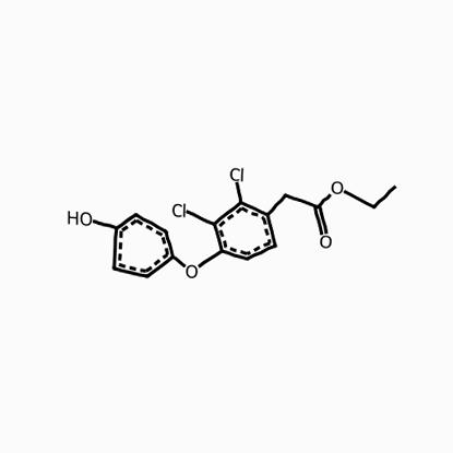 CCOC(=O)Cc1ccc(Oc2ccc(O)cc2)c(Cl)c1Cl